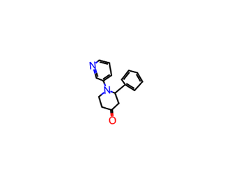 O=C1CCN(c2cccnc2)C(c2ccccc2)C1